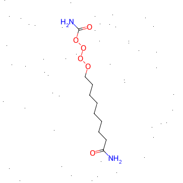 NC(=O)CCCCCCCCOOOOC(N)=O